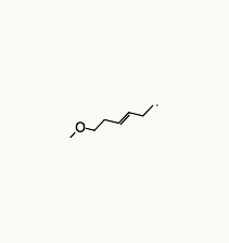 [CH2]CC=CCCOC